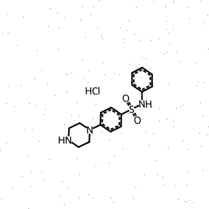 Cl.O=S(=O)(Nc1ccccc1)c1ccc(N2CCNCC2)cc1